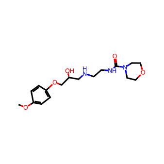 COc1ccc(OC[C@@H](O)CNCCNC(=O)N2CCOCC2)cc1